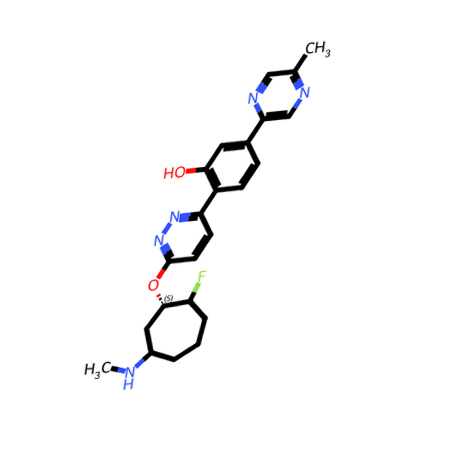 CNC1CCCC(F)[C@@H](Oc2ccc(-c3ccc(-c4cnc(C)cn4)cc3O)nn2)C1